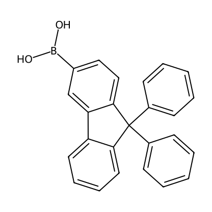 OB(O)c1ccc2c(c1)-c1ccccc1C2(c1ccccc1)c1ccccc1